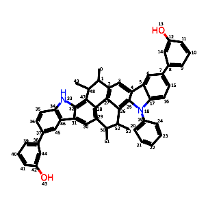 CC1c2cc3c4cc(-c5cccc(O)c5)ccc4n(-c4ccccc4)c3c3c2-c2c(cc4c([nH]c5ccc(-c6cccc(O)c6)cc54)c2C1C)C(C)C3C